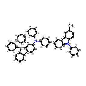 Cc1ccc2c(c1)c1cc(-c3ccc(N(c4ccccc4)c4ccc5c(c4)C(c4ccccc4)(c4ccccc4)c4ccccc4-5)cc3)ccc1n2-c1ccccc1